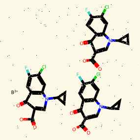 O=C([O-])c1cn(C2CC2)c2cc(Cl)c(F)cc2c1=O.O=C([O-])c1cn(C2CC2)c2cc(Cl)c(F)cc2c1=O.O=C([O-])c1cn(C2CC2)c2cc(Cl)c(F)cc2c1=O.[B+3]